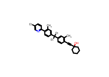 CCc1ccc(-c2ccc(C(CC)(CC)c3ccc(C#CC4(O)CCCCC4)c(C)c3)cc2C)nc1